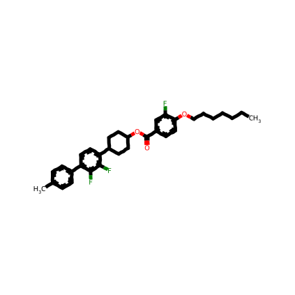 CCCCCCCOc1ccc(C(=O)OC2CCC(c3ccc(-c4ccc(C)cc4)c(F)c3F)CC2)cc1F